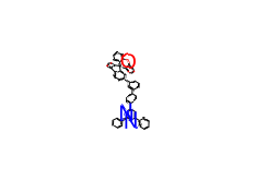 c1ccc(-c2cc(-c3ccc(-c4cccc(-c5ccc6c(c5)C5(c7ccccc7Oc7ccccc75)c5ccccc5-6)c4)cc3)nc(-c3ccccc3)n2)cc1